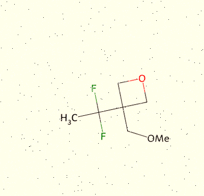 COCC1(C(C)(F)F)COC1